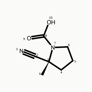 C[C@]1(C#N)CCCN1C(=O)O